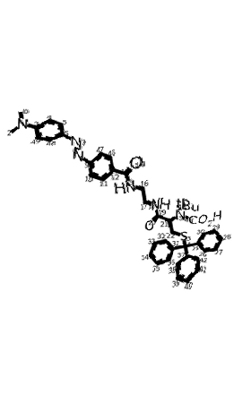 CN(C)c1ccc(/N=N/c2ccc(C(=O)NCCNC(=O)C(CSC(c3ccccc3)(c3ccccc3)c3ccccc3)N(C(=O)O)C(C)(C)C)cc2)cc1